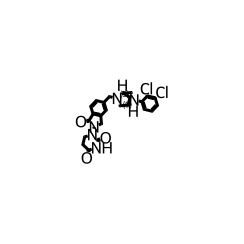 O=C1CCN(N2Cc3cc(CN4C[C@@H]5C[C@H]4CN5c4cccc(Cl)c4Cl)ccc3C2=O)C(=O)N1